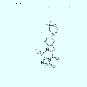 C[C@H]1CC1n1c(C(=O)n2cnoc2=O)cc2cc([C@H]3CCOC(C)(C)C3)ccc21